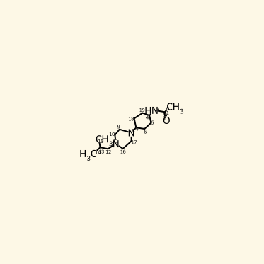 CC(=O)NC1CCC(N2CCN(CC(C)C)CC2)CC1